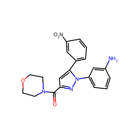 Nc1cccc(-n2nc(C(=O)N3CCOCC3)cc2-c2cccc([N+](=O)[O-])c2)c1